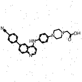 N#Cc1ccc(-c2ccc3nccc(Nc4ccc(N5CCN(CC(=O)O)CC5)cc4)c3c2)cc1